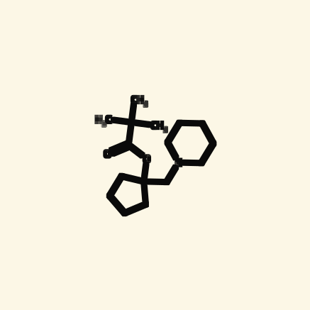 CC(C)(C)C(=O)OC1(CN2CCCCC2)CCCC1